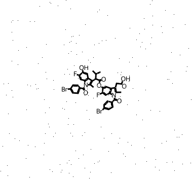 Cc1c(CC(=O)O)c2cc(OC(=O)C(c3c(C)n(C(=O)c4ccc(Br)cc4)c4cc(F)c(O)cc34)C(C)C)c(F)cc2n1C(=O)c1ccc(Br)cc1